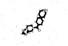 O=C(C1CCC2(CCNCC2)CC1)N1CCn2ncnc2C1